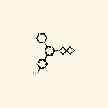 Nc1ncc(-c2cc(N3CC4(COC4)C3)nc(N3CCOCC3)n2)cn1